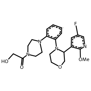 COc1ncc(F)cc1C1COCCN1c1c[c]ccc1N1CCN(C(=O)CO)CC1